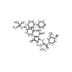 C[C@@H]1Cn2c(c(C(=O)NCc3ccccc3-c3ccncn3)n(-c3ccc(OC[C@](C)(O)C(F)(F)F)cc3)c2=O)CN1C(=O)c1ccc(Br)c(C(F)(F)F)c1